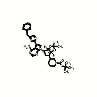 CC(C)(C)OC(=O)N1CCCC(C2C[C@@H](n3cc(-c4nc(Cc5ccccc5)cs4)c4c(N)ncnc43)[C@@H]3OC(C)(C)O[C@H]23)C1